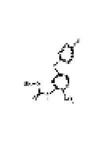 CC(C)(C)OC(=O)Nc1cc(Sc2ccc(Br)cc2)ccc1[N+](=O)[O-]